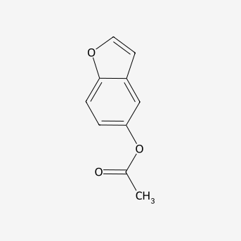 CC(=O)Oc1ccc2occc2c1